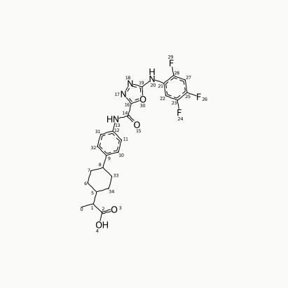 CC(C(=O)O)C1CCC(c2ccc(NC(=O)c3nnc(Nc4cc(F)c(F)cc4F)o3)cc2)CC1